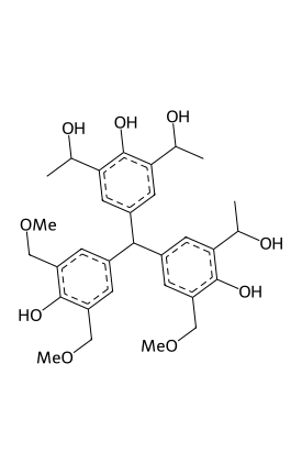 COCc1cc(C(c2cc(COC)c(O)c(C(C)O)c2)c2cc(C(C)O)c(O)c(C(C)O)c2)cc(COC)c1O